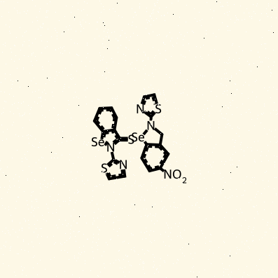 O=[N+]([O-])c1ccc2c(c1)CN(c1nccs1)[Se]2.S=c1c2ccccc2[se]n1-c1nccs1